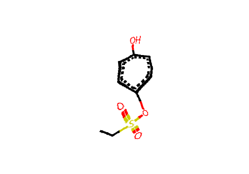 CCS(=O)(=O)Oc1ccc(O)cc1